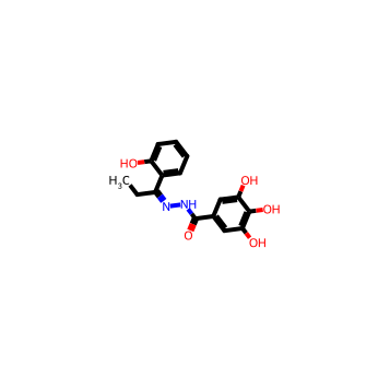 CCC(=NNC(=O)c1cc(O)c(O)c(O)c1)c1ccccc1O